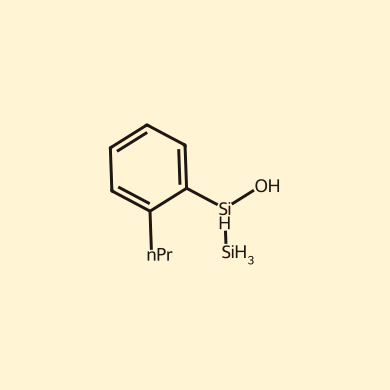 CCCc1ccccc1[SiH](O)[SiH3]